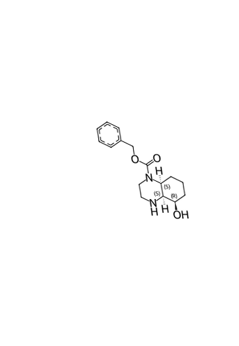 O=C(OCc1ccccc1)N1CCN[C@@H]2[C@H](O)CCC[C@@H]21